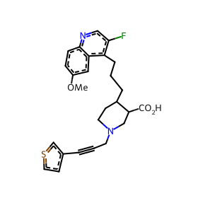 COc1ccc2ncc(F)c(CCCC3CCN(CC#Cc4ccsc4)CC3C(=O)O)c2c1